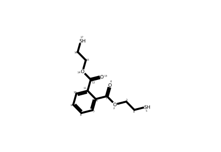 O=C(OCCS)c1ccccc1C(=O)OCCS